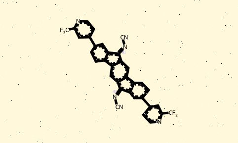 N#C/N=c1\c2cc(-c3ccnc(C(F)(F)F)c3)ccc2c2cc3/c(=N/C#N)c4cc(-c5ccnc(C(F)(F)F)c5)ccc4c3cc12